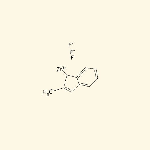 CC1=Cc2ccccc2[CH]1[Zr+3].[F-].[F-].[F-]